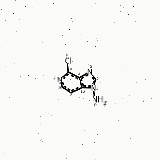 Nn1cnc2c(Cl)nccc21